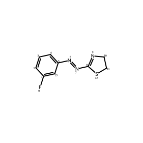 Fc1cccc(N=NC2=NCCS2)c1